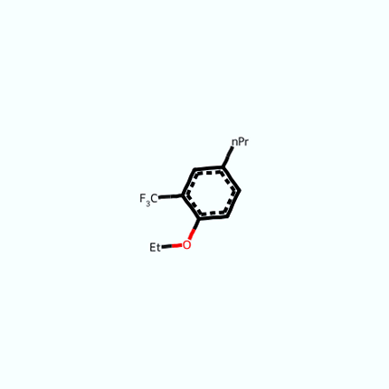 CCCc1ccc(OCC)c(C(F)(F)F)c1